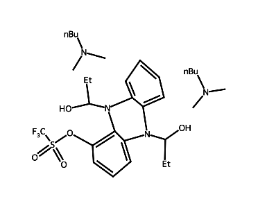 CCC(O)N1c2ccccc2N(C(O)CC)c2c(OS(=O)(=O)C(F)(F)F)cccc21.CCCCN(C)C.CCCCN(C)C